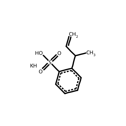 C=CC(C)c1ccccc1S(=O)(=O)O.[KH]